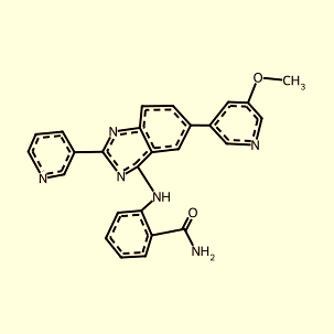 COc1cncc(-c2ccc3nc(-c4cccnc4)nc(Nc4ccccc4C(N)=O)c3c2)c1